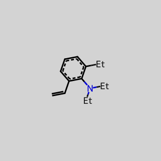 C=Cc1cccc(CC)c1N(CC)CC